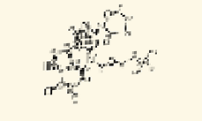 CC(C)(C)OC(=O)N(COCC[Si](C)(C)C)c1cc(Cl)c(Cl)c2[nH]cc(-c3cnn(C4CCCCO4)c3)c12